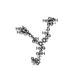 C[C@@H]1O[C@@H](OCCOCCNC(=O)COc2ccc(-c3cc(OCC(=O)NCCOCCO[C@@H]4O[C@@H](C)[C@H](O)[C@@H](O)[C@H]4O)cc(C(=O)NCCNC(=O)CCCC(=O)ON4C(=O)CCC4=O)c3)cc2)[C@H](O)[C@H](O)[C@H]1O